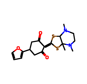 CN1CCN(C)C2(C)SC(=C3C(=O)CC(c4ccco4)CC3=O)SC12